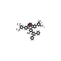 N#Cc1cc(-n2c3ccccc3c3cc(-c4cc(C(F)(F)F)cc(C(F)(F)F)c4)ccc32)c(-n2c3ccccc3c3cc(-c4cc(C(F)(F)F)cc(C(F)(F)F)c4)ccc32)cc1-c1nc(-c2ccccc2)nc(-c2ccccc2)n1